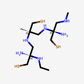 CCN[C@@](N)(CS)CN[C@@](C)(CS)CN[C@@](N)(CS)CNC